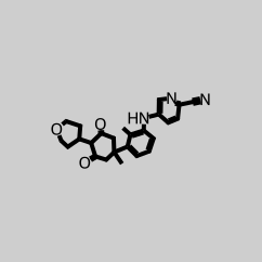 Cc1c(Nc2ccc(C#N)nc2)cccc1C1(C)CC(=O)C(C2CCOCC2)C(=O)C1